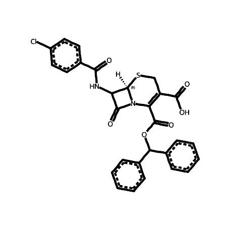 O=C(O)C1=C(C(=O)OC(c2ccccc2)c2ccccc2)N2C(=O)C(NC(=O)c3ccc(Cl)cc3)[C@H]2SC1